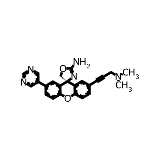 CN(C)CC#Cc1ccc2c(c1)[C@@]1(COC(N)=N1)c1cc(-c3cncnc3)ccc1O2